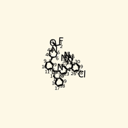 O=C(CF)N1CCC(c2cccc([C@H](Cc3ccccc3)c3ccc(-c4cc(Cl)ccc4-n4cnnn4)cn3)c2)CC1